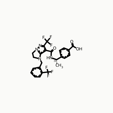 C[C@H](NC(=O)c1c(C(F)(F)F)nn2c1N(Cc1ccccc1C(F)(F)F)CC2)c1ccc(C(=O)O)cc1